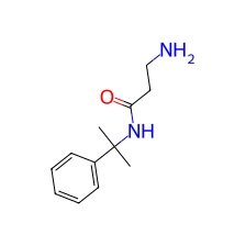 CC(C)(NC(=O)CCN)c1ccccc1